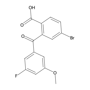 COc1cc(F)cc(C(=O)c2cc(Br)ccc2C(=O)O)c1